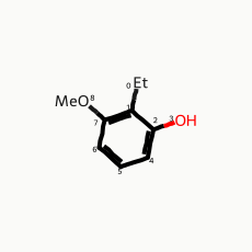 CCc1c(O)cccc1OC